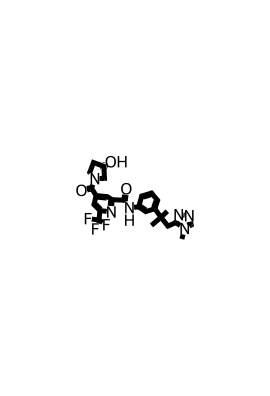 Cn1cnnc1CC(C)(C)c1cccc(NC(=O)c2cc(C(=O)N3CC[C@H](O)C3)cc(C(F)(F)F)n2)c1